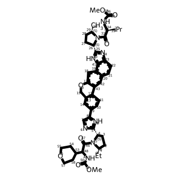 CC[C@H]1CC[C@@H](c2ncc(-c3ccc4c(c3)COc3cc5c(ccc6nc([C@@H]7CC[C@H](C)N7C(=O)[C@@H](NC(=O)OC)C(C)C)[nH]c65)cc3-4)[nH]2)N1C(=O)C(NC(=O)OC)C1CCOCC1